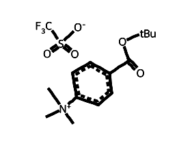 CC(C)(C)OC(=O)c1ccc([N+](C)(C)C)cc1.O=S(=O)([O-])C(F)(F)F